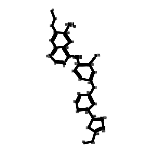 CCCc1cc2ncnc(Nc3ccc(Cc4cccc(C5=NN=C(CC)C5)c4)cc3F)c2cc1N